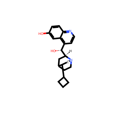 Oc1ccc2nccc([C@@H](O)[C@@H]3CC4CCN3CC4C3CCC3)c2c1